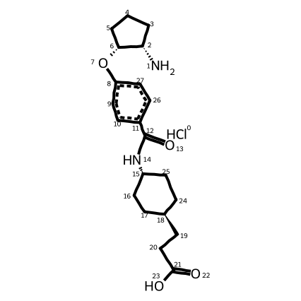 Cl.N[C@H]1CCC[C@H]1Oc1ccc(C(=O)N[C@H]2CC[C@H](CCC(=O)O)CC2)cc1